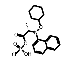 C[C@@H](C(=O)OP(=O)(O)Cl)N(OC1CCCCC1)c1cccc2ccccc12